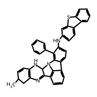 CC1C=CC2=C(C1)N=C1c3cccc4c5ccc(Nc6ccc7c(c6)sc6ccccc67)c(-c6ccccc6)c5n(c34)C1N2